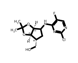 CC1(C)O[C@@H]2[C@@H](CO)CC(Nc3nc(Cl)ncc3F)[C@@H]2O1